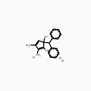 CC1=C[C]([Ti+3])(C(c2ccccc2)c2ccccc2)C(C)=C1C.[Cl-].[Cl-].[Cl-]